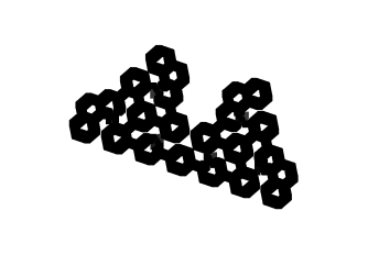 c1ccc(-c2cc(-c3ccccc3-c3cnc4c(ccc5ccccc54)c3)cc(-c3ccccc3-c3cnc4c(ccc5ccccc54)c3)c2)c(-c2ccc(-c3ccc(-c4ccc(-c5ccccc5-c5cc(-c6ccccc6-c6cnc7c(ccc8ccccc87)c6)cc(-c6ccccc6-c6cnc7c(ccc8ccccc87)c6)c5)cn4)cc3)nc2)c1